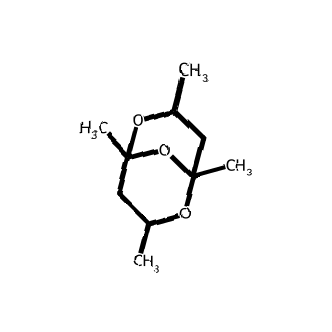 C[C]1CC2(C)O[C](C)CC(C)(O1)O2